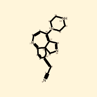 N#CC=C1C=CC2=NC=CC(N3CCNCC3)=C3C=NCC23C1